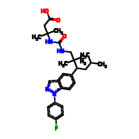 CC(C)CC(c1ccc2c(cnn2-c2ccc(F)cc2)c1)C(C)(C)CNC(=O)NC(C)(C)CC(=O)O